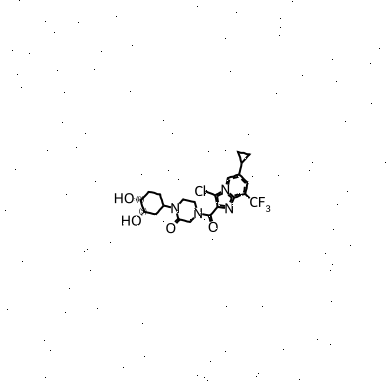 O=C(c1nc2c(C(F)(F)F)cc(C3CC3)cn2c1Cl)N1CCN(C2CC[C@@H](O)[C@@H](O)C2)C(=O)C1